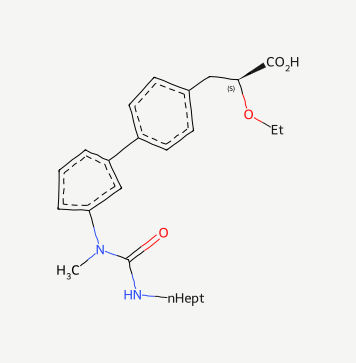 CCCCCCCNC(=O)N(C)c1cccc(-c2ccc(C[C@H](OCC)C(=O)O)cc2)c1